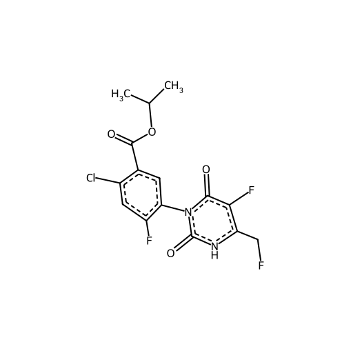 CC(C)OC(=O)c1cc(-n2c(=O)[nH]c(CF)c(F)c2=O)c(F)cc1Cl